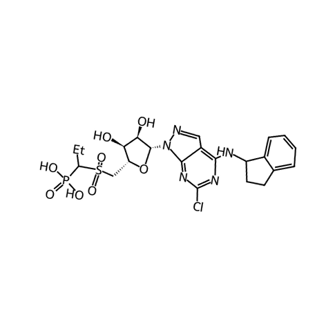 CCC(P(=O)(O)O)S(=O)(=O)C[C@H]1O[C@@H](n2ncc3c(NC4CCc5ccccc54)nc(Cl)nc32)[C@H](O)[C@@H]1O